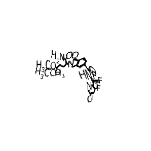 CC(C)(C)OC(=O)CCC(C(N)=O)N1Cc2cc(C(=O)N[C@H](c3ncc(Cl)cc3F)C(F)(F)F)ccc2C1=O